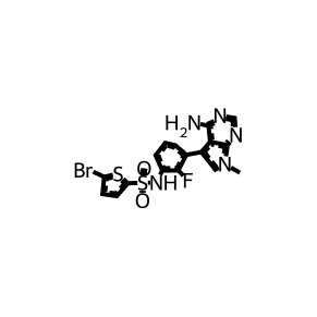 Cn1cc(-c2cccc(NS(=O)(=O)c3ccc(Br)s3)c2F)c2c(N)ncnc21